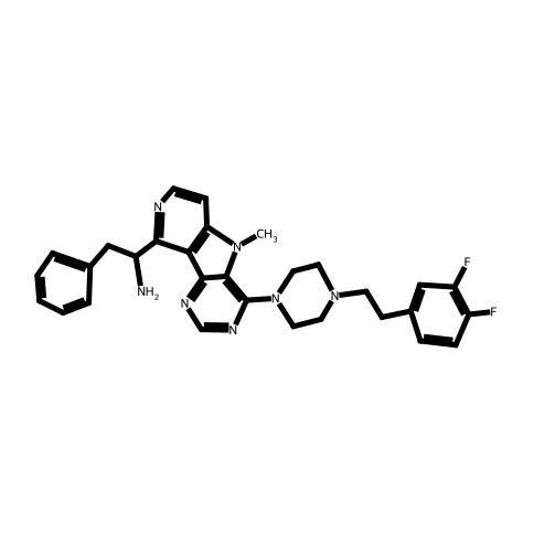 Cn1c2ccnc(C(N)Cc3ccccc3)c2c2ncnc(N3CCN(CCc4ccc(F)c(F)c4)CC3)c21